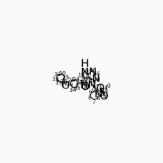 C=CS(=O)(=O)N1CCCCC1CNc1ncnc2[nH]cc(C(=O)c3ccc(Oc4ccccc4)cc3)c12